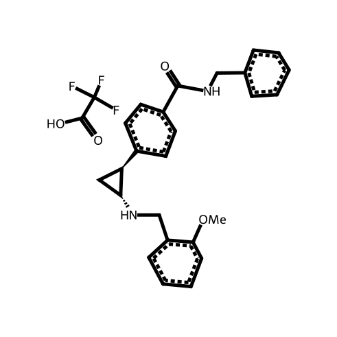 COc1ccccc1CN[C@@H]1C[C@H]1c1ccc(C(=O)NCc2ccccc2)cc1.O=C(O)C(F)(F)F